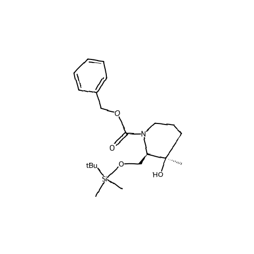 CC(C)(C)[Si](C)(C)OC[C@H]1N(C(=O)OCc2ccccc2)CCC[C@@]1(C)O